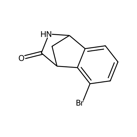 O=C1NC2CC1c1c(Br)cccc12